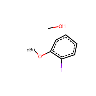 CCCCOc1ccccc1I.CO